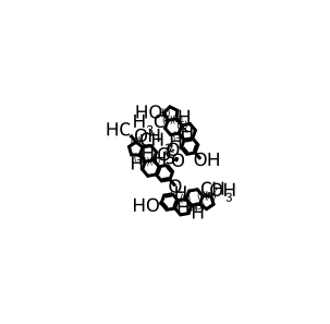 C#C[C@]1(O)CC[C@H]2[C@@H]3CCc4cc(Oc5cc(O)cc6c5[C@H]5CC[C@]7(C)[C@H](O)CC[C@H]7[C@@H]5CC6)cc(S(=O)(=O)Oc5cc(O)cc6c5[C@H]5CC[C@]7(C)[C@H](O)CC[C@H]7[C@@H]5CC6)c4[C@H]3CCC21C